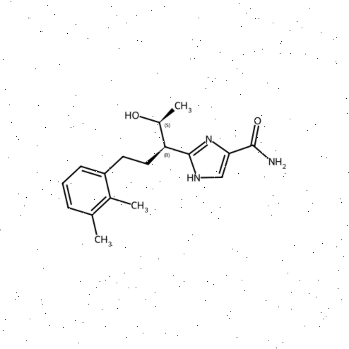 Cc1cccc(CC[C@H](c2nc(C(N)=O)c[nH]2)[C@H](C)O)c1C